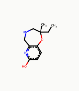 CC[C@@]1(C)CNCc2nc(O)ccc2O1